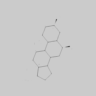 CCC[C@@H](C)C1CCC2C3C[C@H](CC)C4C[C@H](OC(C)=O)CC[C@]4(C)C3CC[C@@]21C